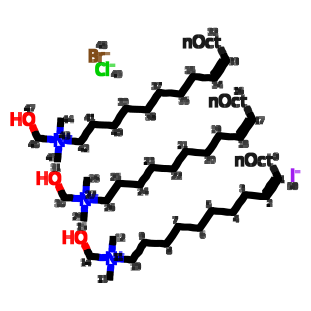 CCCCCCCC/C=C\CCCCCCCC[N+](C)(C)CO.CCCCCCCC/C=C\CCCCCCCC[N+](C)(C)CO.CCCCCCCC/C=C\CCCCCCCC[N+](C)(C)CO.[Br-].[Cl-].[I-]